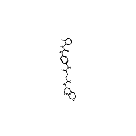 Cc1ccccc1NC(=O)Nc1ccc(NC(=O)CCC(=O)NC(CC(=O)O)CN2CCOCC2)cc1